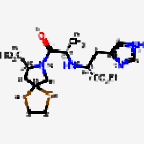 CCOC(=O)[C@@H](Cc1c[nH]cn1)N[C@@H](C)C(=O)N1CC2(C[C@H]1C(=O)O)SCCS2